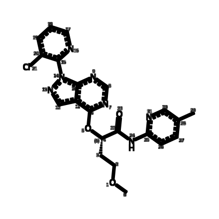 COCC[C@H](Oc1ncnc2c1cnn2-c1ncccc1Cl)C(=O)Nc1ccc(C)cn1